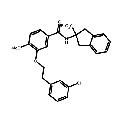 CCOC(=O)C1(NC(=O)c2ccc(OC)c(OCCc3cccc(C)c3)c2)Cc2ccccc2C1